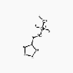 CO[Si](C)(C)OCC1CCCC1